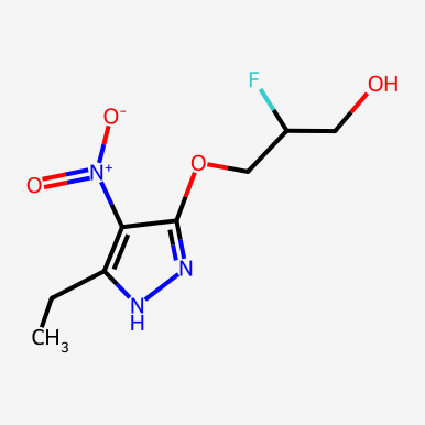 CCc1[nH]nc(OCC(F)CO)c1[N+](=O)[O-]